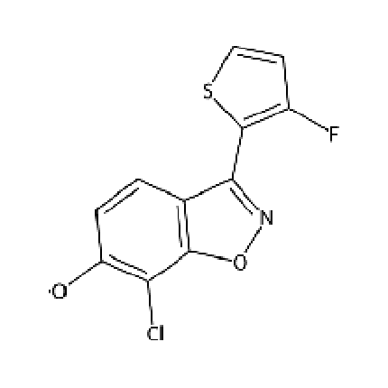 [O]c1ccc2c(-c3sccc3F)noc2c1Cl